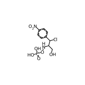 O=[N+]([O-])c1ccc(C(Cl)C(CO)NOP(=O)(O)O)cc1